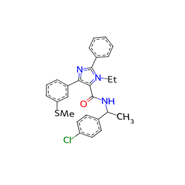 CCn1c(-c2ccccc2)nc(-c2cccc(SC)c2)c1C(=O)NC(C)c1ccc(Cl)cc1